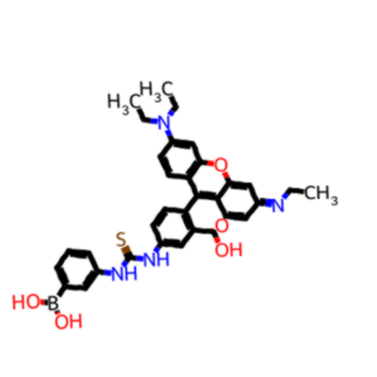 CC/N=c1/ccc2c(-c3ccc(NC(=S)Nc4cccc(B(O)O)c4)cc3C(=O)O)c3ccc(N(CC)CC)cc3oc-2c1